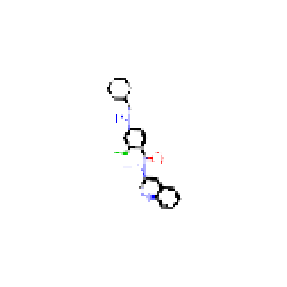 O=C(Nc1cnc2ccccc2c1)c1ccc(NCC2CCCCC2)cc1Cl